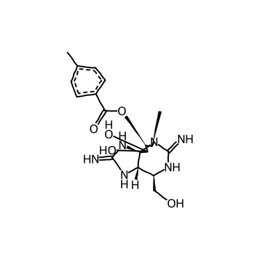 Cc1ccc(C(=O)O[C@H]2[C@H](C)N3C(=N)N[C@@H](CO)[C@@H]4NC(=N)N[C@@]43C2(O)O)cc1